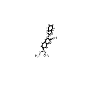 CCN(CC)c1ccc2cc(-c3nc4ccccc4s3)c(=N)oc2c1